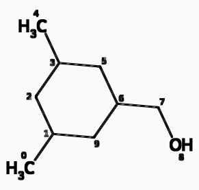 CC1CC(C)CC(CO)C1